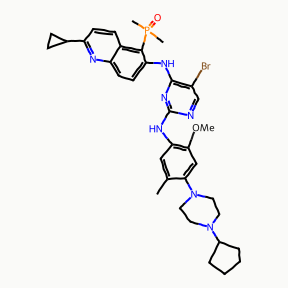 COc1cc(N2CCN(C3CCCC3)CC2)c(C)cc1Nc1ncc(Br)c(Nc2ccc3nc(C4CC4)ccc3c2P(C)(C)=O)n1